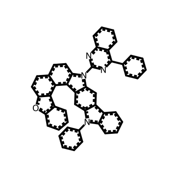 c1ccc(-c2nc(-n3c4cc5c6ccccc6n(-c6ccccc6)c5cc4c4c5c(ccc6oc7ccccc7c65)ccc43)nc3ccccc23)cc1